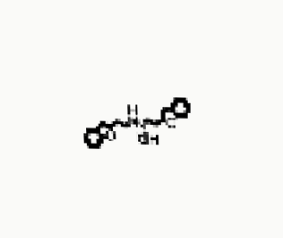 Cl.c1ccc2c(c1)CC(CCNNCCc1cc3ccccc3o1)O2